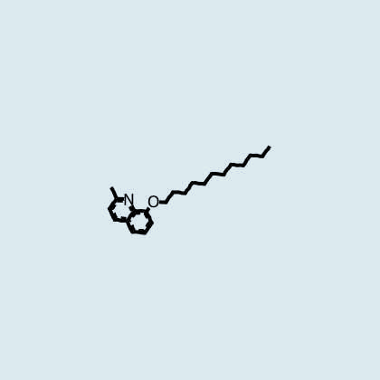 CCCCCCCCCCCCOc1cccc2ccc(C)nc12